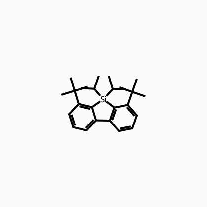 CC(C)[Si]1(C(C)C)c2c(cccc2C(C)(C)C)-c2cccc(C(C)(C)C)c21